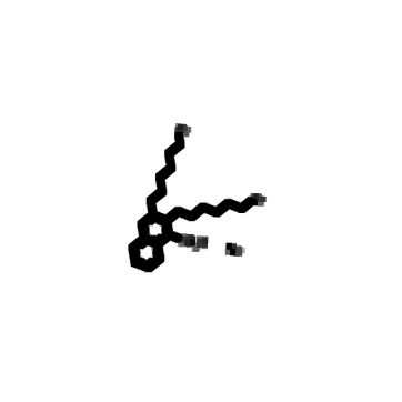 CC(C)CCCCCCc1cc2ccccc2c(S(=O)(=O)O)c1CCCCCCC(C)C.[Na]